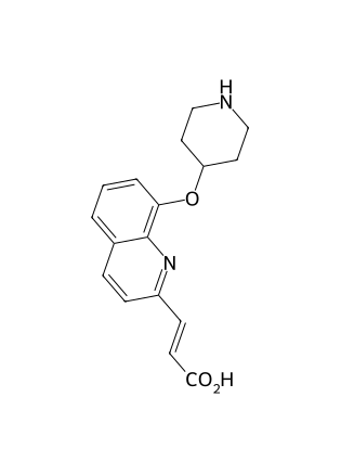 O=C(O)/C=C/c1ccc2cccc(OC3CCNCC3)c2n1